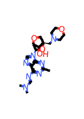 Cc1nc(/N=C/N(C)C)c2ncn([C@@H]3O[C@@]4(CN5CCOCC5)COC3C4O)c2n1